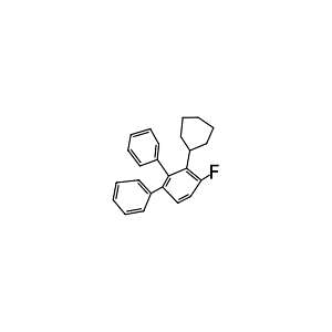 Fc1ccc(-c2ccccc2)c(-c2ccccc2)c1C1CCCCC1